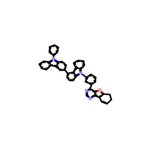 C1=Cc2c(oc3c(-c4cccc(-n5c6ccccc6c6c(-c7ccc8c(c7)c7ccccc7n8-c7ccccc7)cccc65)c4)ncnc23)CC1